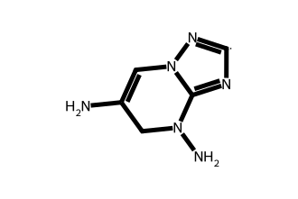 NC1=Cn2n[c]nc2N(N)C1